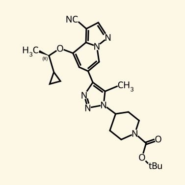 Cc1c(-c2cc(O[C@H](C)C3CC3)c3c(C#N)cnn3c2)nnn1C1CCN(C(=O)OC(C)(C)C)CC1